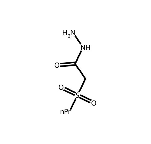 CCCS(=O)(=O)CC(=O)NN